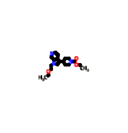 CCOCCn1cc(C2CCN(C(=O)OCC)CC2)c2ccncc21